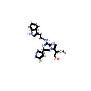 CC(CO)c1cnc2c(NCCc3c[nH]c4ccccc34)nc(-c3cncc(F)c3)cn12